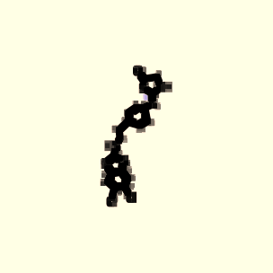 O=C1CN/C(=N/c2ccc(CCNc3nc4cc(Cl)c(Cl)cc4s3)cc2)S1